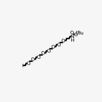 CC(C)(C)OC(=O)NCCCCOCCOCCOCCOCCOCCOCCOCCOCCI